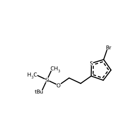 CC(C)(C)[Si](C)(C)OCCc1ccc(Br)s1